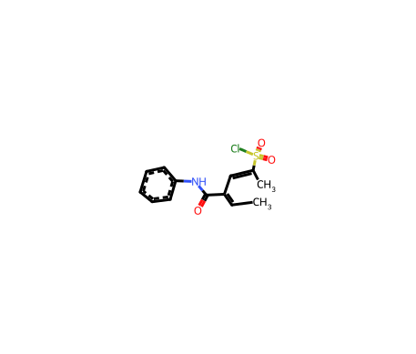 C/C=C(\C=C(/C)S(=O)(=O)Cl)C(=O)Nc1ccccc1